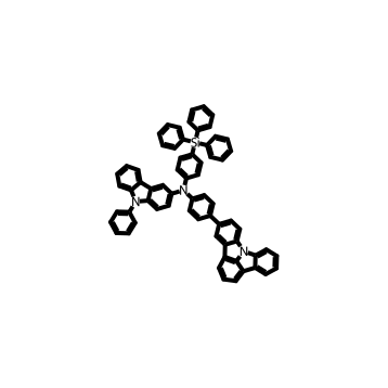 c1ccc(-n2c3ccccc3c3cc(N(c4ccc(-c5ccc6c(c5)c5cccc7c8ccccc8n6c75)cc4)c4ccc([Si](c5ccccc5)(c5ccccc5)c5ccccc5)cc4)ccc32)cc1